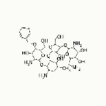 CC1CC(N)C(OC2OC(CO)C(OCc3ccccc3)C(O)C2N)C(OC2OC(CO)C(OC3OC(CN)C(O)C(O)C3N)C2O)C1O